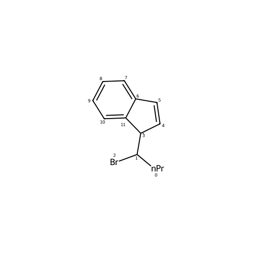 CCCC(Br)[C]1C=Cc2ccccc21